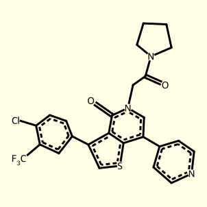 O=C(Cn1cc(-c2ccncc2)c2scc(-c3ccc(Cl)c(C(F)(F)F)c3)c2c1=O)N1CCCC1